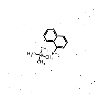 Bc1cccc2ccccc12.C[N+](C)(C)C